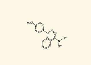 CCCN(CCC)c1nnc(-c2ccc(OC)cc2)c2ccccc12